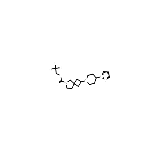 [2H]C([2H])([2H])COC(=O)N1CCC2(CC(N3CCC(n4cccn4)CC3)C2)C1